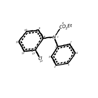 CCOC(=O)N(c1ccccc1)c1ccccc1Cl